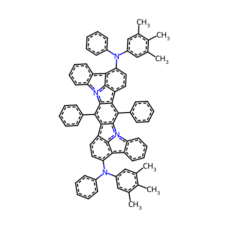 Cc1cc(N(c2ccccc2)c2ccc3c4c(-c5ccccc5)c5c(c(-c6ccccc6)c4n4c6ccccc6c2c34)c2ccc(N(c3ccccc3)c3cc(C)c(C)c(C)c3)c3c4ccccc4n5c23)cc(C)c1C